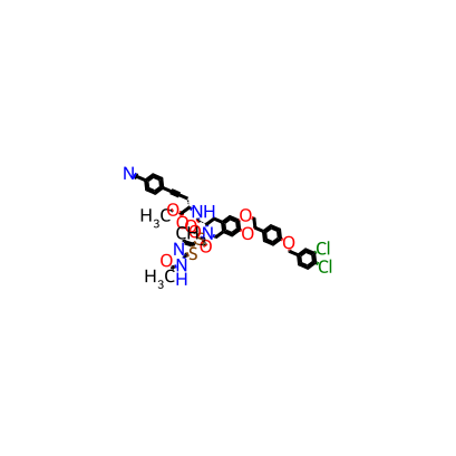 COC(=O)[C@H](CC#Cc1ccc(C#N)cc1)NC(=O)[C@@H]1Cc2cc3c(cc2CN1S(=O)(=O)c1sc(NC(C)=O)nc1C)OC(c1ccc(OCc2ccc(Cl)c(Cl)c2)cc1)CO3